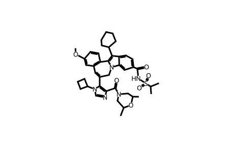 COc1ccc2c(c1)C=C(c1c(C(=O)N3CC(C)OC(C)C3)ncn1C1CCC1)Cn1c-2c(C2CCCCC2)c2ccc(C(=O)NS(=O)(=O)C(C)C)cc21